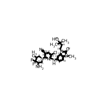 CC1CN(c2nc(Nc3ccc4c(c3)n(CCC(C)(C)O)c(=O)n4C)c(Cl)cc2C#N)CC(N)C1(F)F